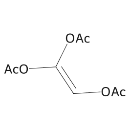 CC(=O)OC=C(OC(C)=O)OC(C)=O